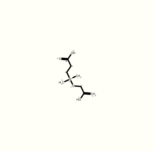 C=C(O)CO[N+](C)(C)CCC(=O)O